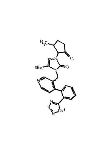 CCCCc1cn(C2C(=O)CCC2C)c(=O)n1Cc1cnccc1-c1ccccc1-c1nnn[nH]1